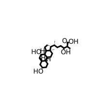 CC(C(=O)O)C(O)CC[C@@H](C)[C@H]1CC[C@H]2[C@@H]3[C@@H](O)C=C4C[C@@H](O)CC[C@]4(C)[C@H]3CC[C@]12C